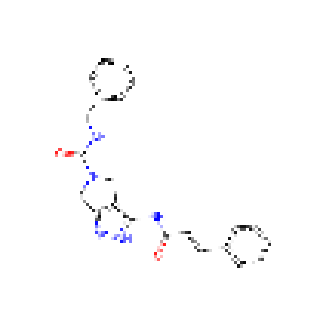 O=C(C=Cc1ccccc1)Nc1[nH]nc2c1CN(C(=O)NCc1ccccc1)C2